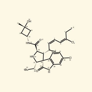 CC(/C=C\C=C(\Cl)CF)[C@H]1[C@H](C(=O)N[C@H]2C[C@@](C)(O)C2)N[C@@H](CC(C)(C)C)[C@@]12C(=O)Nc1cc(Cl)ccc12